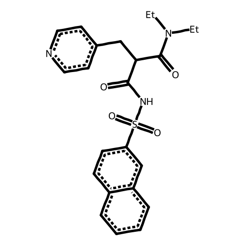 CCN(CC)C(=O)C(Cc1ccncc1)C(=O)NS(=O)(=O)c1ccc2ccccc2c1